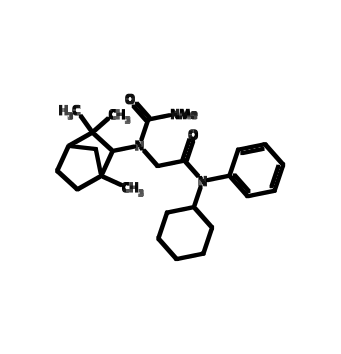 CNC(=O)N(CC(=O)N(c1ccccc1)C1CCCCC1)C1C2(C)CCC(C2)C1(C)C